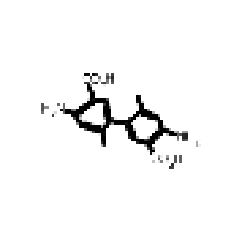 Cc1cc(N)c(C(=O)O)cc1-c1cc(C(=O)O)c(N)cc1C